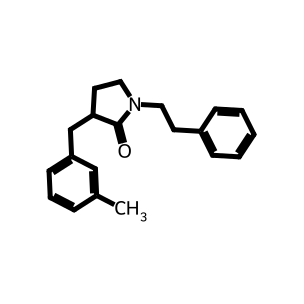 Cc1cccc(CC2CCN(CCc3ccccc3)C2=O)c1